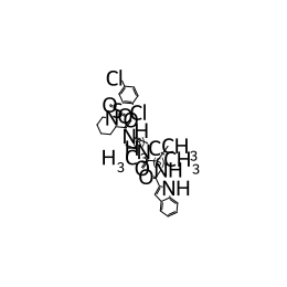 CC(C)(C)[C@H](NC(=O)c1cc2ccccc2[nH]1)C(=O)N1C[C@H]2N(C(=O)C3CCCCN3S(=O)(=O)c3cc(Cl)ccc3Cl)CC21C